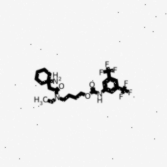 CCN(CCCCOC(=O)Nc1cc(C(F)(F)F)cc(C(F)(F)F)c1)C(=O)CC1(N)CCCCC1